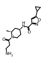 C[C@H]1C[C@@H](NC(=O)c2cc(C3CC3)on2)CCN1C(=O)CCN